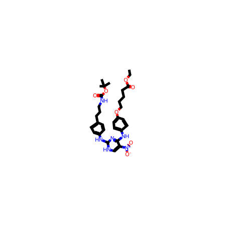 CCOC(=O)CCCCOc1ccc(NC2=NC(Nc3ccc(CCCNC(=O)OC(C)(C)C)cc3)NC=C2[N+](=O)[O-])cc1